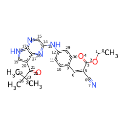 CCOC(=O)/C(C#N)=C\c1ccc(Nc2cnc3[nH]cc(C(=O)C(C)(C)C)c3n2)cc1